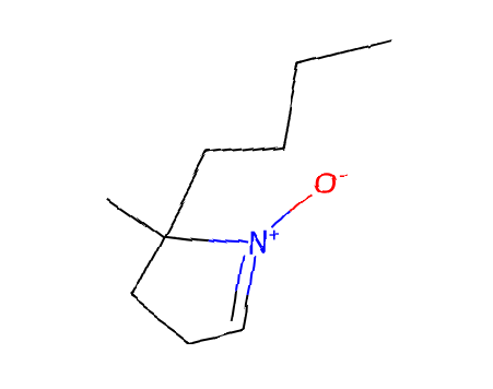 CCCCC1(C)CCC=[N+]1[O-]